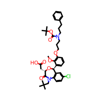 COc1c(OCCCN(CCCc2ccccc2)C(=O)OC(C)(C)C)cccc1[C@@H]1O[C@@H](CC(=O)O)C(=O)N(CC(C)(C)C)c2ccc(Cl)cc21